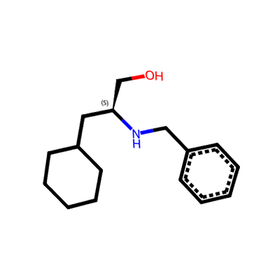 OC[C@H](CC1CCCCC1)NCc1ccccc1